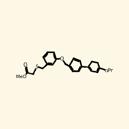 CCCC1=CC=C(c2ccc(COc3cccc(CSCC(=O)OC)c3)cc2)CC1